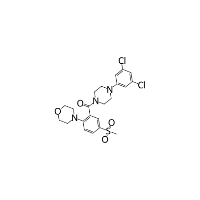 CS(=O)(=O)c1ccc(N2CCOCC2)c(C(=O)N2CCN(c3cc(Cl)cc(Cl)c3)CC2)c1